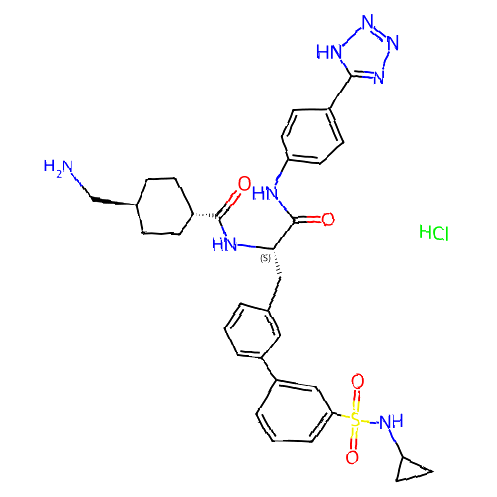 Cl.NC[C@H]1CC[C@H](C(=O)N[C@@H](Cc2cccc(-c3cccc(S(=O)(=O)NC4CC4)c3)c2)C(=O)Nc2ccc(-c3nnn[nH]3)cc2)CC1